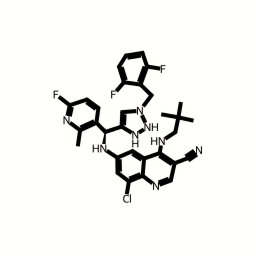 Cc1nc(F)ccc1[C@H](Nc1cc(Cl)c2ncc(C#N)c(NCC(C)(C)C)c2c1)C1=CN(Cc2c(F)cccc2F)NN1